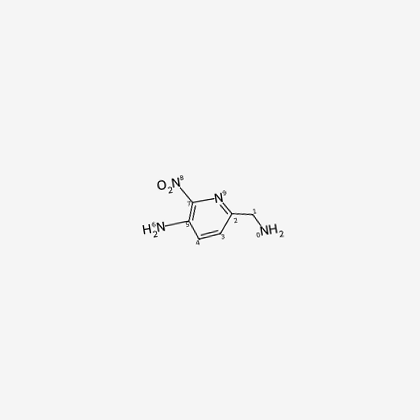 NCc1ccc(N)c([N+](=O)[O-])n1